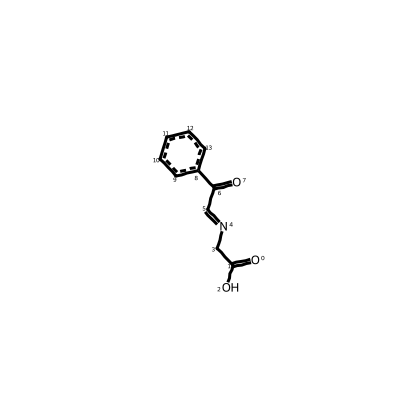 O=C(O)CN=CC(=O)c1ccccc1